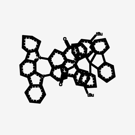 CC(C)(C)c1ccc2c(c1)c(=O)c1cc(-n3c4ccccc4c4ccc5c6ccccc6n(-c6ccc(N7c8ccccc8C8(c9ccccc9-c9ccccc98)c8ccccc87)cc6)c5c43)cc3c(=O)c4cc(C(C)(C)C)ccc4n2c13